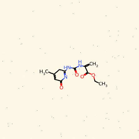 C=C(NC(=O)NC1=NC(=O)C=C(C)C1)C(=O)OCC